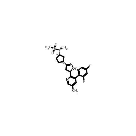 C=[N+]([C@H]1CC[C@H](C2=NOC(c3ncc(C)cc3-c3c(F)cc(F)cc3F)C2)C1)S(C)(=O)=O